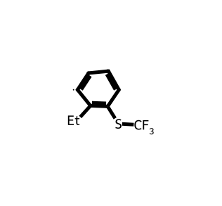 CCc1[c]cccc1SC(F)(F)F